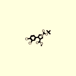 COC(=O)C1CN(C(=O)OC(C)(C)C)CC1c1ccc(Cl)c(Cl)c1